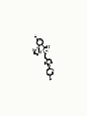 O=C(NCCc1ccn(-c2ccc(F)cn2)n1)c1ccc(F)cc1-n1nccn1